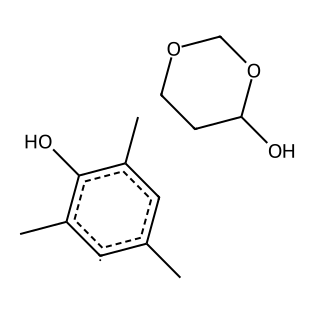 Cc1[c]c(C)c(O)c(C)c1.OC1CCOCO1